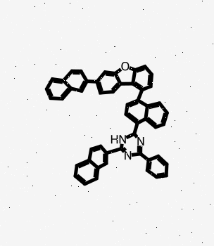 c1ccc(C2=NC(c3ccc(-c4cccc5oc6cc(-c7ccc8ccccc8c7)ccc6c45)c4ccccc34)NC(c3ccc4ccccc4c3)=N2)cc1